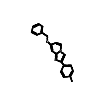 Cc1ccc(-c2cn3ccc(OCc4ccccc4)cc3n2)cc1